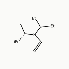 C=CN(C(CC)CC)[C@@H](C)C(C)C